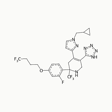 Fc1cc(OCCCC(F)(F)F)ccc1C1(C(F)(F)F)CC(c2ccn(CC3CC3)n2)=C(c2nnn[nH]2)CN1